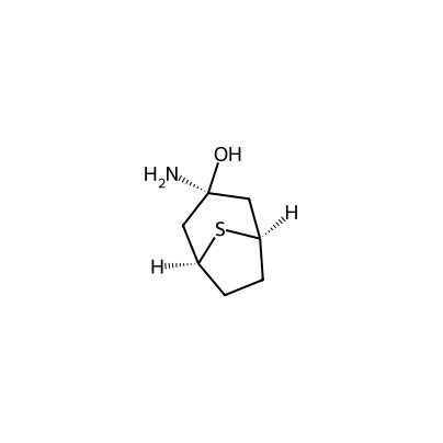 N[C@]1(O)C[C@H]2CC[C@@H](C1)S2